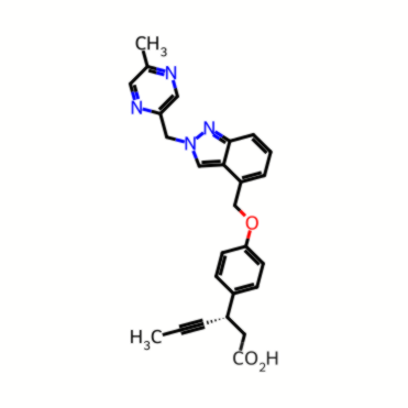 CC#C[C@@H](CC(=O)O)c1ccc(OCc2cccc3nn(Cc4cnc(C)cn4)cc23)cc1